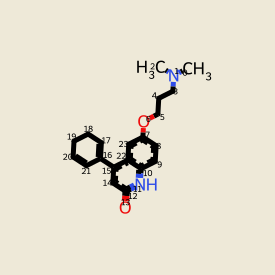 CN(C)CCCOc1ccc2[nH]c(=O)cc(C3=CCCC=C3)c2c1